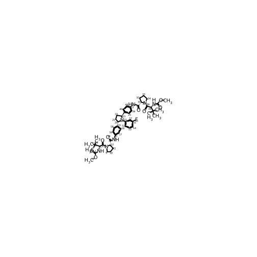 COC(=O)N[C@H](C(=O)N1CCC[C@H]1C(=O)Nc1ccc([C@@H]2CC[C@@H](c3ccc(NC(=O)[C@@H]4CCCN4C(=O)[C@@H](NC(=O)OC)C(C)(C)C)cc3)N2c2cccc(F)c2)cc1)C(C)(C)C